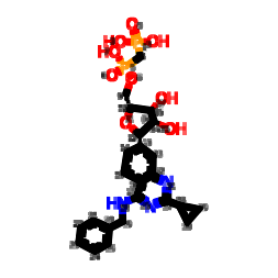 O=P(O)(O)CP(=O)(O)OC[C@H]1O[C@@H](c2ccc3c(NCc4ccccc4)nc(C4CC4)nc3c2)[C@H](O)[C@@H]1O